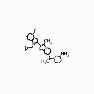 C=C(c1ccn2c(C)c(-c3cc4c(F)cccc4n3CC3CC3)nc2c1)N1CCCC(N)C1